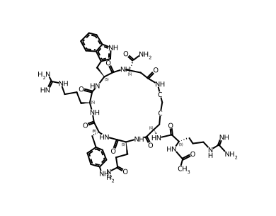 CC(=O)N[C@@H](CCCNC(=N)N)C(=O)N[C@H]1CCCCNC(=O)C[C@@H](C(N)=O)NC(=O)[C@H](Cc2c[nH]c3ccccc23)NC(=O)[C@H](CCCNC(=N)N)NC(=O)[C@@H](Cc2ccc(N)cc2)NC(=O)[C@H](CCC(N)=O)NC1=O